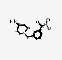 CCN(CC)C(=O)c1cccc(CN2CCC(N)CC2)c1